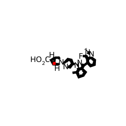 Cc1cccc2c(-c3cccc4nn(C)c(F)c34)nn(-c3ccc(N4C[C@H]5C[C@@H]4C[C@@H]5C(=O)O)nc3)c12